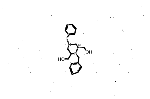 OCC1CN(Sc2ccccc2)C[C@@H](CO)N1Cc1ccccc1